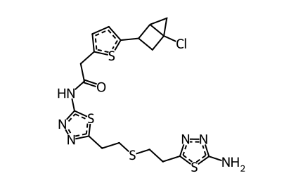 Nc1nnc(CCSCCc2nnc(NC(=O)Cc3ccc(C4CC5(Cl)CC45)s3)s2)s1